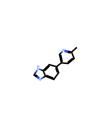 Cc1ccc(-c2ccc3nc[nH]c3c2)cn1